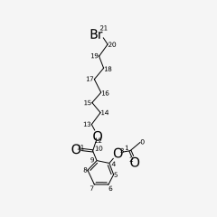 CC(=O)Oc1ccccc1C(=O)OCCCCCCCCBr